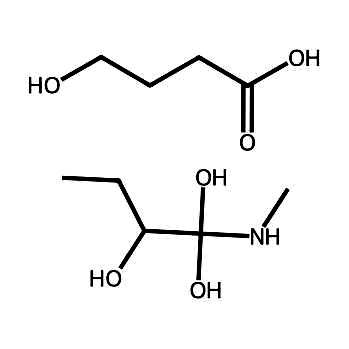 CCC(O)C(O)(O)NC.O=C(O)CCCO